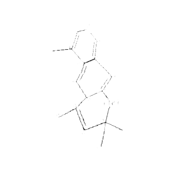 CC1=COC=C2C=C3NC(C)(C)C=C(C)C3C=C12